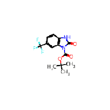 CC(C)(C)OC(=O)n1c(=O)[nH]c2ccc(C(F)(F)F)cc21